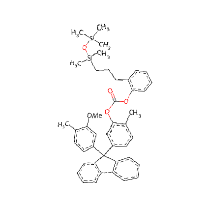 COc1cc(C2(c3ccc(C)c(OC(=O)Oc4ccccc4CCC[Si](C)(C)O[Si](C)(C)C)c3)c3ccccc3-c3ccccc32)ccc1C